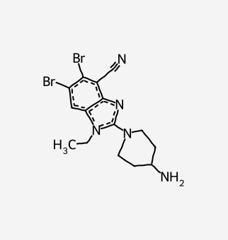 CCn1c(N2CCC(N)CC2)nc2c(C#N)c(Br)c(Br)cc21